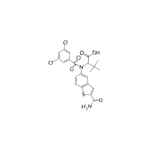 CC(C)(C)C(C(=O)O)N(c1ccc2sc(C(N)=O)cc2c1)S(=O)(=O)c1cc(Cl)cc(Cl)c1